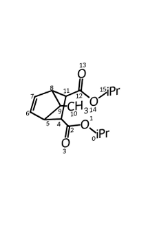 CC(C)OC(=O)C1C2C=CC(C2C)C1C(=O)OC(C)C